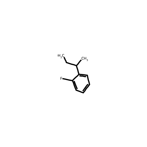 [CH2]CC(C)c1ccccc1F